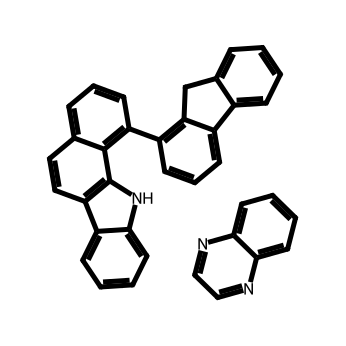 c1ccc2c(c1)Cc1c-2cccc1-c1cccc2ccc3c4ccccc4[nH]c3c12.c1ccc2nccnc2c1